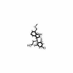 CSCc1cccc2c(C(CCO)c3c(F)cc(Cl)cc3F)c[nH]c12